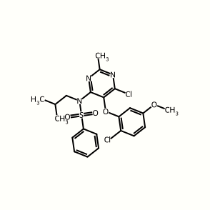 COc1ccc(Cl)c(Oc2c(Cl)nc(C)nc2N(CC(C)C)S(=O)(=O)c2ccccc2)c1